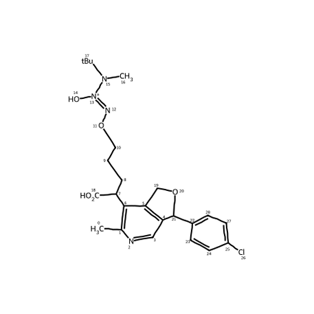 Cc1ncc2c(c1C(CCCO/N=[N+](\O)N(C)C(C)(C)C)C(=O)O)COC2c1ccc(Cl)cc1